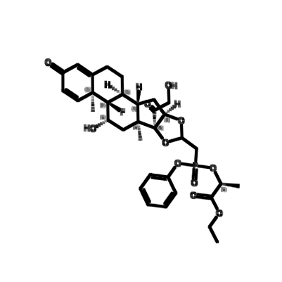 CCOC(=O)[C@H](C)OP(=O)(CC1O[C@@H]2C[C@H]3[C@@H]4CCC5=CC(=O)C=C[C@]5(C)[C@@]4(F)[C@@H](O)C[C@]3(C)[C@]2(C(=O)CO)O1)Oc1ccccc1